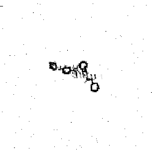 C[C@H](NCc1ccccc1NS(=O)(=O)c1ccc(-n2cccc2)cc1)[C@H](O)C1CCCCC1